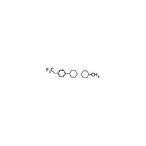 C[C@H]1CC[C@H](C2CCC(c3ccc(CC(F)(F)F)cc3)CC2)CC1